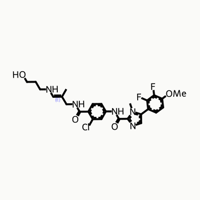 COc1ccc(-c2cnc(C(=O)Nc3ccc(C(=O)NC/C(C)=C/NCCCO)c(Cl)c3)n2C)c(F)c1F